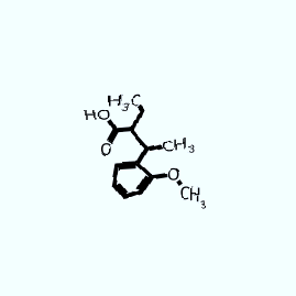 CCC(C(=O)O)C(C)c1ccccc1OC